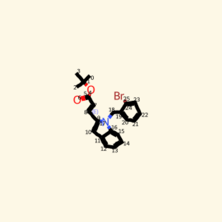 CC(C)(C)OC(=O)/C=C/c1cc2ccccc2n1Cc1ccccc1Br